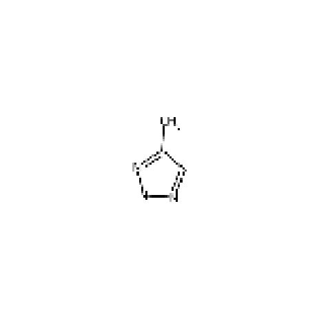 CC1=N[N]N=C1